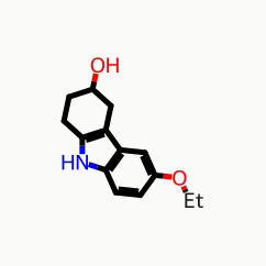 CCOc1ccc2[nH]c3c(c2c1)CC(O)CC3